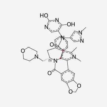 Cc1c(C(=O)N(c2cnn(C)c2)c2cnc(O)nc2O)cc(-c2cc3c(cc2C(=O)N2Cc4ccccc4C[C@H]2CN2CCOCC2)OCO3)n1C